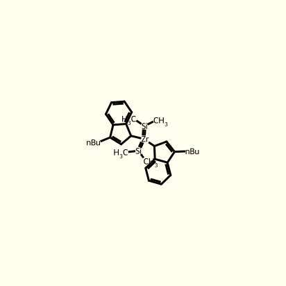 CCCCC1=C[CH]([Zr]([CH]2C=C(CCCC)c3ccccc32)(=[Si](C)C)=[Si](C)C)c2ccccc21